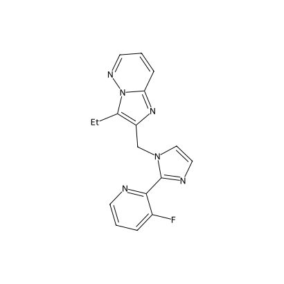 CCc1c(Cn2ccnc2-c2ncccc2F)nc2cccnn12